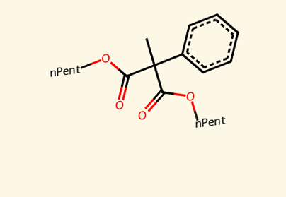 CCCCCOC(=O)C(C)(C(=O)OCCCCC)c1ccccc1